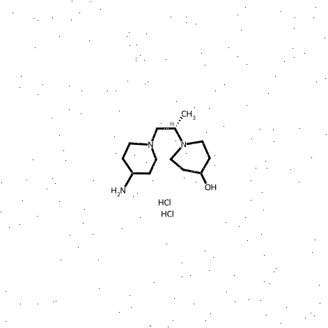 C[C@@H](CN1CCC(N)CC1)N1CCC(O)CC1.Cl.Cl